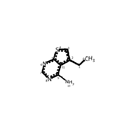 CCc1csc2ncnc(N)c12